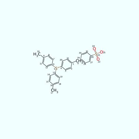 Cc1ccc([S+](c2ccc(C)cc2)c2ccc(C)cc2)cc1.O=S(=O)([O-])c1ccccc1